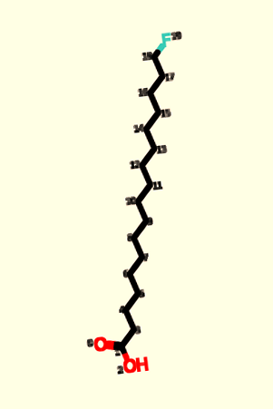 O=C(O)CCCCCCCCCCCCCCCCF